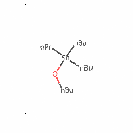 CCCC[O][Sn]([CH2]CC)([CH2]CCC)[CH2]CCC